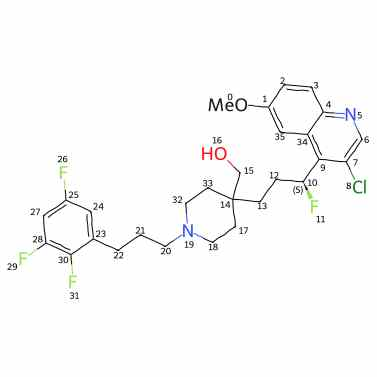 COc1ccc2ncc(Cl)c([C@@H](F)CCC3(CO)CCN(CCCc4cc(F)cc(F)c4F)CC3)c2c1